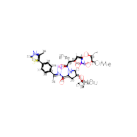 COC(=O)[C@H](C)Oc1cc([C@H](C(=O)N2C[C@H](O[Si](C)(C)C(C)(C)C)C[C@H]2C(=O)N[C@@H](C)c2ccc(-c3scnc3C)cc2)C(C)C)on1